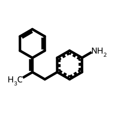 CC(Cc1ccc(N)cc1)=C1C=CC=CC1